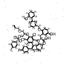 C=CCOCC(COS(=O)(=O)c1ccc(C)cc1)Oc1c(Cl)c(C)c(-c2c(-c3ccc(F)cc3)sc3ncnc(OC(Cc4cc(O)ccc4OCc4ccnc(-c5ccccc5OC)n4)C(=O)O)c23)c(C)c1Cl